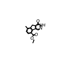 CCOC(=O)c1ccc(C)c2c1-c1cn[nH]c(=O)c1C2